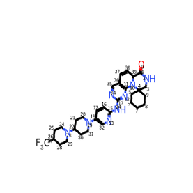 O=C1NCC2(CCCCC2)N2c3nc(Nc4ccc(N5CCC(N6CCC(C(F)(F)F)CC6)CC5)cn4)ncc3C=CC12